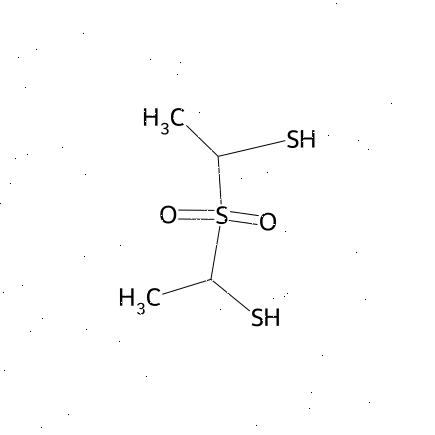 CC(S)S(=O)(=O)C(C)S